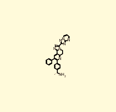 C[C@@H](N)c1ccc(-c2nc3c(cc2-c2ccccc2)-c2nnc(-c4nc5ncccn5n4)n2CC3)cc1